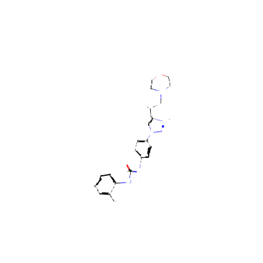 Cc1ccccc1NC(=O)Nc1ccc(-n2cc(CCN3CCOCC3)nn2)cc1